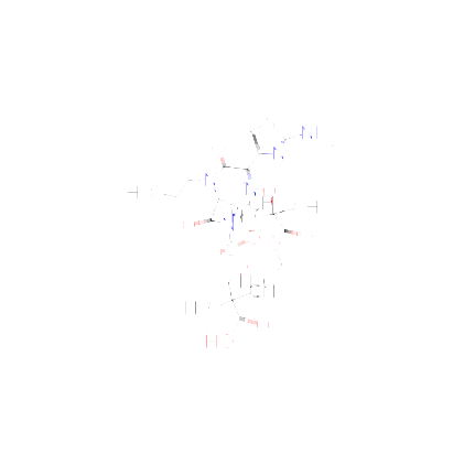 CCCN(C(=O)/C(=N/OC(C)(C)C(=O)OCC)c1csc(N)n1)[C@@H]1C(=O)N(S(=O)(=O)OCC(C)(C)C(=O)O)[C@H]1C